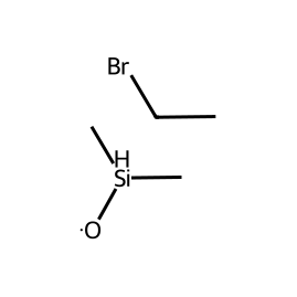 CCBr.C[SiH](C)[O]